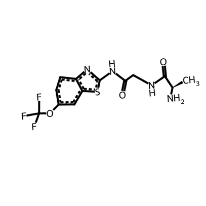 C[C@@H](N)C(=O)NCC(=O)Nc1nc2ccc(OC(F)(F)F)cc2s1